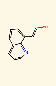 OC=Cc1cccc2cccnc12